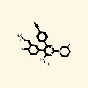 CN/C=C1/C=C(c2c(NC)nc(N3CCC[C@H](F)C3)nc2-c2ccc(C#N)cc2)C=CC1=N